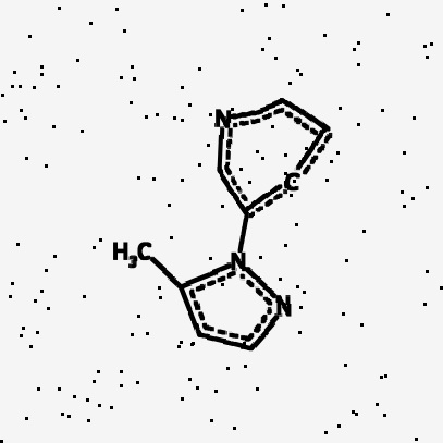 Cc1ccnn1-c1cccnc1